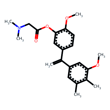 C=C(c1ccc(OC)c(OC(=O)CN(C)C)c1)c1cc(C)c(C)c(OC)c1